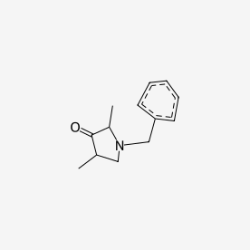 CC1CN(Cc2ccccc2)C(C)C1=O